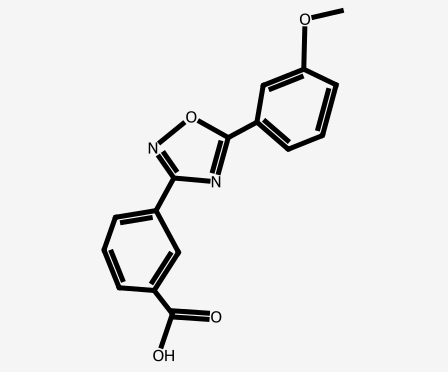 COc1cccc(-c2nc(-c3cccc(C(=O)O)c3)no2)c1